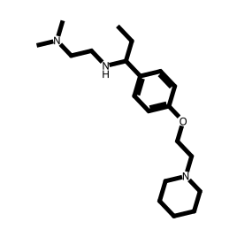 CCC(NCCN(C)C)c1ccc(OCCN2CCCCC2)cc1